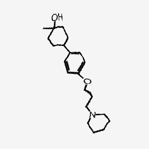 CC1(O)CCC(c2ccc(OCCCN3CCCCC3)cc2)CC1